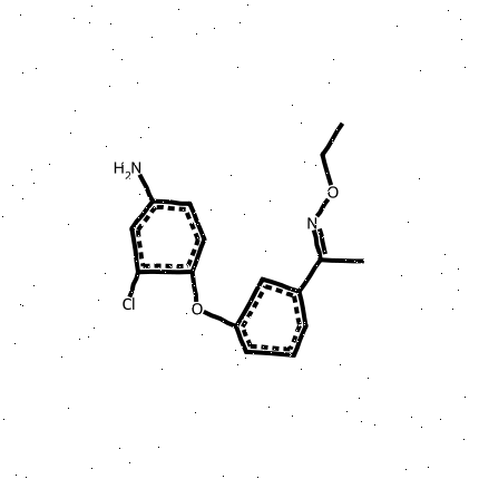 CCON=C(C)c1cccc(Oc2ccc(N)cc2Cl)c1